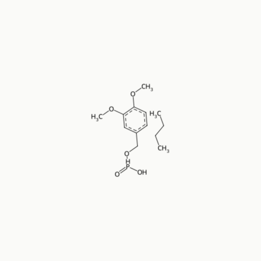 CCCC.COc1ccc(CO[PH](=O)O)cc1OC